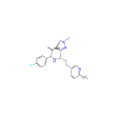 C=C(NC)C(NC(CCc1ccc(C(F)(F)F)nc1)c1ccn(C)n1)c1ccc(F)cc1